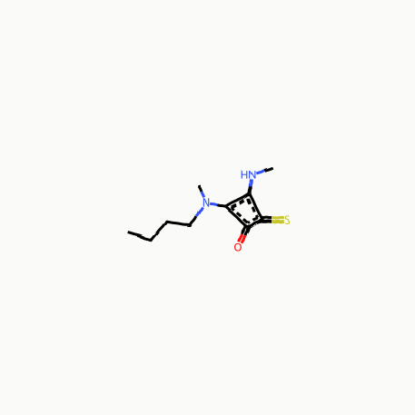 CCCCN(C)c1c(NC)c(=S)c1=O